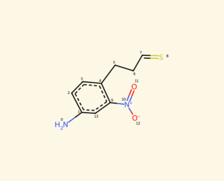 Nc1ccc(CCC=S)c([N+](=O)[O-])c1